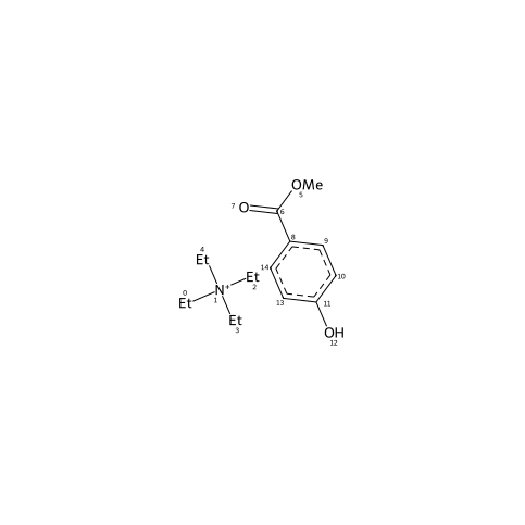 CC[N+](CC)(CC)CC.COC(=O)c1ccc(O)cc1